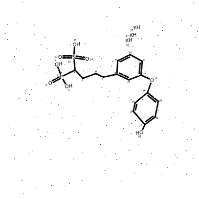 O=P(O)(O)C(CCCc1cccc(Oc2ccc(O)cc2)c1)S(=O)(=O)O.[KH].[KH].[KH]